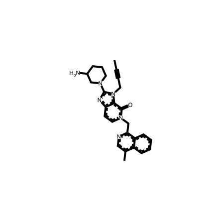 CC#CCn1c(N2CCCC(N)C2)nc2ccn(Cc3ncc(C)c4ccccc34)c(=O)c21